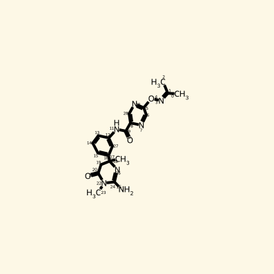 CC(C)=NOc1cnc(C(=O)Nc2cccc(C3(C)CC(=O)N(C)C(N)=N3)c2)cn1